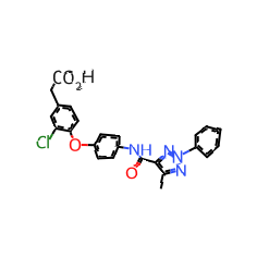 Cc1nn(-c2ccccc2)nc1C(=O)Nc1ccc(Oc2ccc(CC(=O)O)cc2Cl)cc1